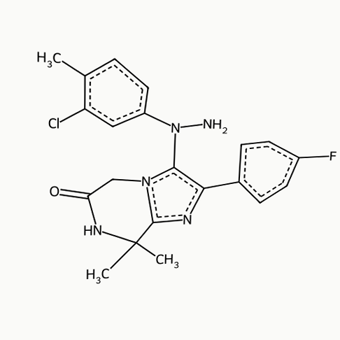 Cc1ccc(N(N)c2c(-c3ccc(F)cc3)nc3n2CC(=O)NC3(C)C)cc1Cl